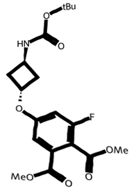 COC(=O)c1cc(O[C@H]2C[C@H](NC(=O)OC(C)(C)C)C2)cc(F)c1C(=O)OC